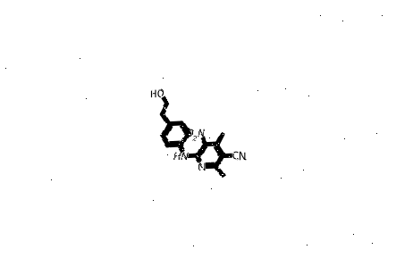 Cc1nc(Nc2ccc(CCO)cc2)c([N+](=O)[O-])c(C)c1C#N